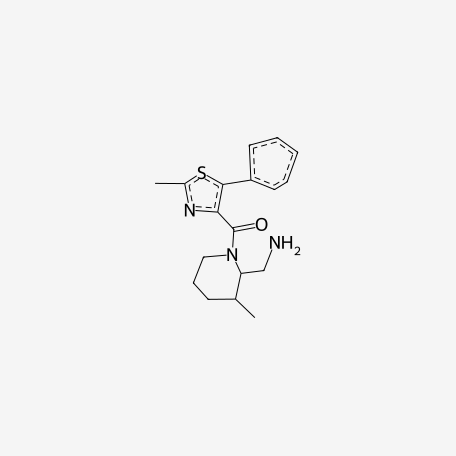 Cc1nc(C(=O)N2CCCC(C)C2CN)c(-c2ccccc2)s1